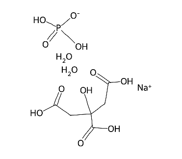 O.O.O=C(O)CC(O)(CC(=O)O)C(=O)O.O=P([O-])(O)O.[Na+]